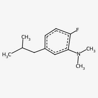 CC(C)Cc1ccc(F)c(N(C)C)c1